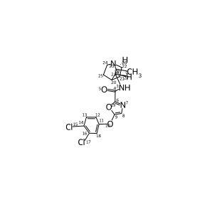 C[C@H]1[C@H](NC(=O)c2ncc(Oc3ccc(Cl)c(Cl)c3)o2)C2CCN1CC2